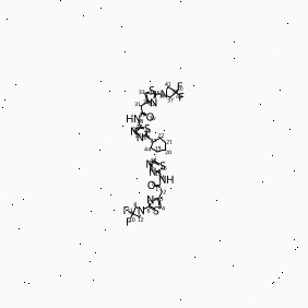 O=C(Cc1csc(N2CC(F)(F)C2)n1)Nc1nnc([C@H]2CCC[C@H](c3nnc(NC(=O)Cc4csc(N5CC(F)(F)C5)n4)s3)C2)s1